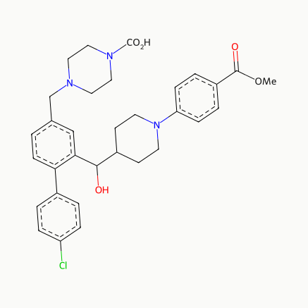 COC(=O)c1ccc(N2CCC(C(O)c3cc(CN4CCN(C(=O)O)CC4)ccc3-c3ccc(Cl)cc3)CC2)cc1